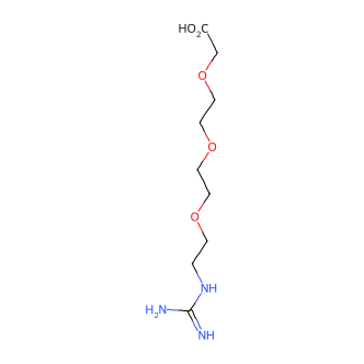 N=C(N)NCCOCCOCCOCC(=O)O